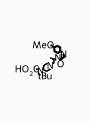 COc1ccc2ncc(=O)n(C(C)CN3CCC(N(C(=O)O)C(C)(C)C)CC3)c2c1